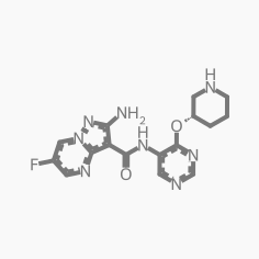 Nc1nn2cc(F)cnc2c1C(=O)Nc1cncnc1O[C@H]1CCCNC1